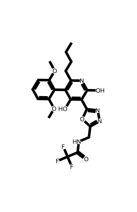 CCCCc1nc(O)c(-c2nnc(CNC(=O)C(F)(F)F)o2)c(O)c1-c1c(OC)cccc1OC